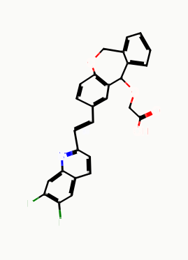 O=C(O)COC1c2ccccc2COc2ccc(/C=C/c3ccc4cc(F)c(F)cc4n3)cc21